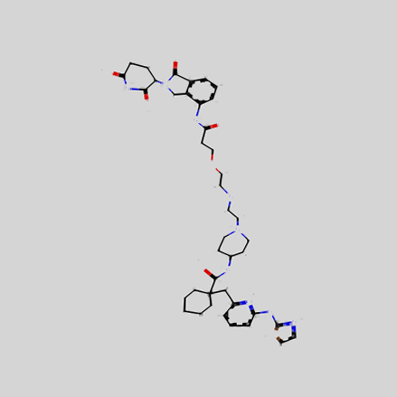 O=C1CCC(N2Cc3c(NC(=O)CCOCCNCCN4CCC(NC(=O)C5(Cc6cccc(Nc7nccs7)n6)CCCCC5)CC4)cccc3C2=O)C(=O)N1